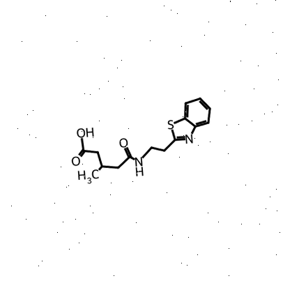 CC(CC(=O)O)CC(=O)NCCc1nc2ccccc2s1